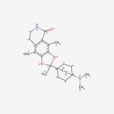 Cc1c2c(c(C=O)c3c1C(=O)NCC3)OC(C)(C13CCC(N(C)C)(CC1)CC3)O2